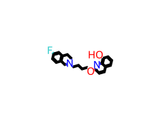 Oc1cccc2ccc(OCCCCN3CCc4cc(F)ccc4C3)nc12